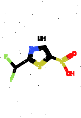 O=S(O)c1cnc(C(F)F)s1.[LiH]